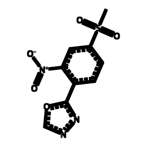 CS(=O)(=O)c1ccc(-c2nnco2)c([N+](=O)[O-])c1